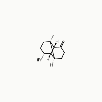 C=C1CC[C@H]2[C@H]3[C@@H]1[C@]2(C)CC[C@H]3C(C)C